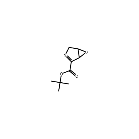 CC(C)(C)OC(=O)C1=NCC2OC12